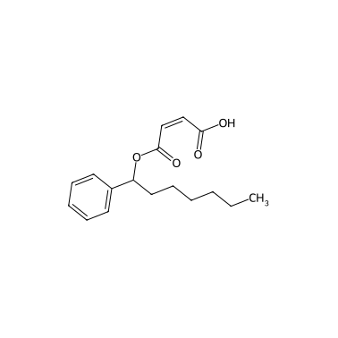 CCCCCCC(OC(=O)/C=C\C(=O)O)c1ccccc1